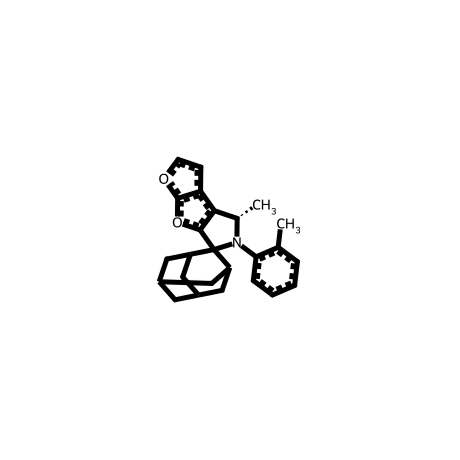 Cc1ccccc1N1[C@@H](C)c2c(oc3occc23)C12C1CC3CC(C1)CC2C3